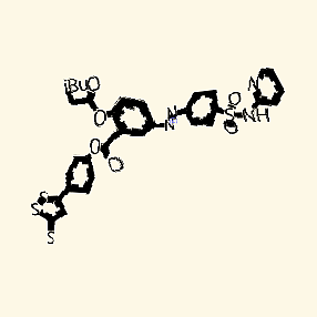 CCC(C)CC(=O)Oc1ccc(/N=N/c2ccc(S(=O)(=O)Nc3ccccn3)cc2)cc1C(=O)Oc1ccc(-c2cc(=S)ss2)cc1